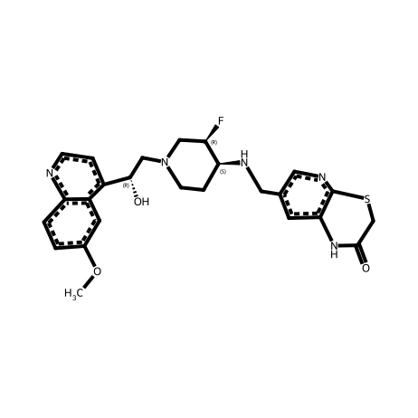 COc1ccc2nccc([C@@H](O)CN3CC[C@H](NCc4cnc5c(c4)NC(=O)CS5)[C@H](F)C3)c2c1